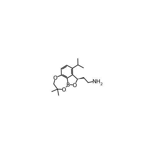 CC(C)c1ccc2c3c1[C@@H](CCN)OB3OC(C)(C)CO2